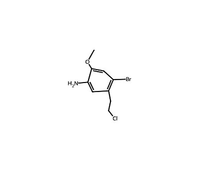 COc1cc(Br)c(CCCl)cc1N